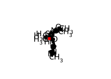 Cc1ncc(-c2ccc(CNC(=O)c3nn(C(C)C)c4c3CN(c3ccc(C(=O)N(C)C)cn3)C[C@@H]4C)cc2)nn1